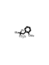 CCOC(=O)C(Cc1ccccc1OC)(C(C)C)C(C)(C)C